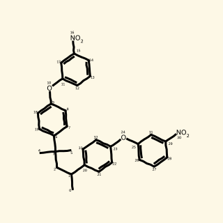 CC(CC(C)(C)c1ccc(Oc2cccc([N+](=O)[O-])c2)cc1)c1ccc(Oc2cccc([N+](=O)[O-])c2)cc1